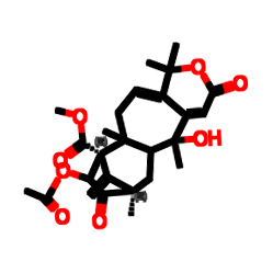 C=C1[C@@]2(C)CC3C(C)(O)C4=CC(=O)OC(C)(C)C4=CCC3(C)[C@]1(C(=O)OC)C(OC(C)=O)C2=O